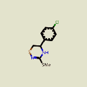 CSC1=NSCC(c2ccc(Cl)cc2)N1